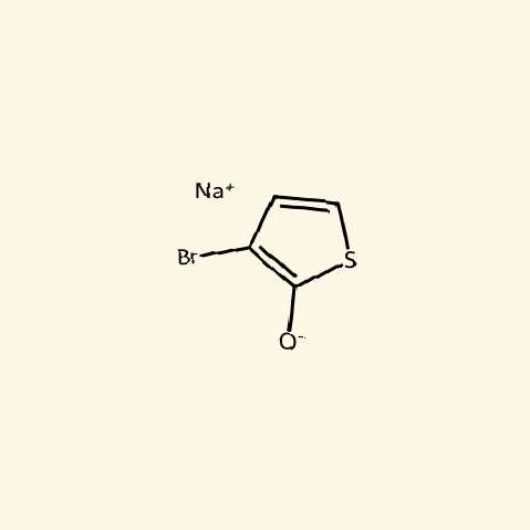 [Na+].[O-]c1sccc1Br